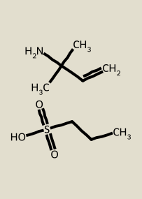 C=CC(C)(C)N.CCCS(=O)(=O)O